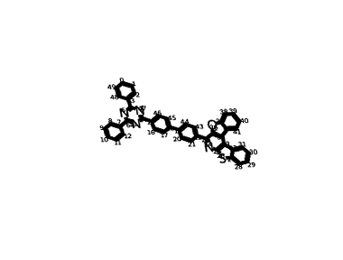 c1ccc(-c2nc(-c3ccccc3)nc(-c3ccc(-c4ccc(-c5nc6sc7ccccc7c6c6c5oc5ccccc56)cc4)cc3)n2)cc1